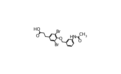 CC(=O)Nc1cccc(COc2c(Br)cc(CCC(=O)O)cc2Br)c1